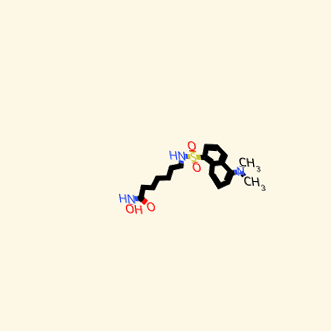 CN(C)c1cccc2c(S(=O)(=O)NCCCCCCC(=O)NO)cccc12